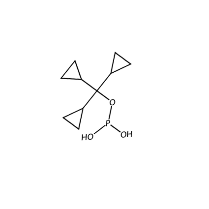 OP(O)OC(C1CC1)(C1CC1)C1CC1